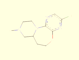 CC(C)N1CCN2c3ncc(Cl)nc3OCCC2C1